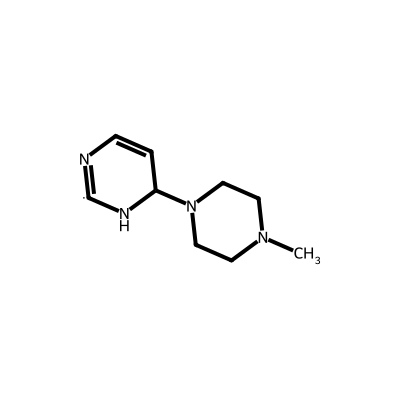 CN1CCN(C2C=CN=[C]N2)CC1